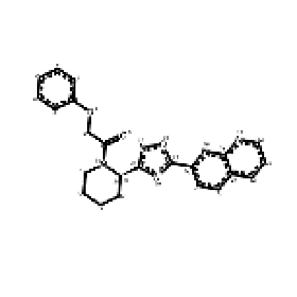 O=C(COc1ccccc1)N1CCCC[C@@H]1c1noc(-c2ccc3cccnc3n2)n1